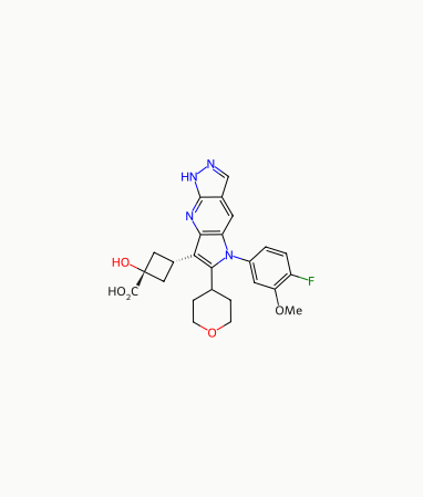 COc1cc(-n2c(C3CCOCC3)c([C@H]3C[C@](O)(C(=O)O)C3)c3nc4[nH]ncc4cc32)ccc1F